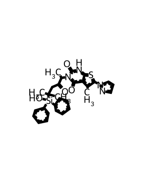 Cc1c(-n2cccn2)sc2[nH]c(=O)n(C(C)C(=O)CC(C)(C)[Si](O)(c3ccccc3)c3ccccc3)c(=O)c12